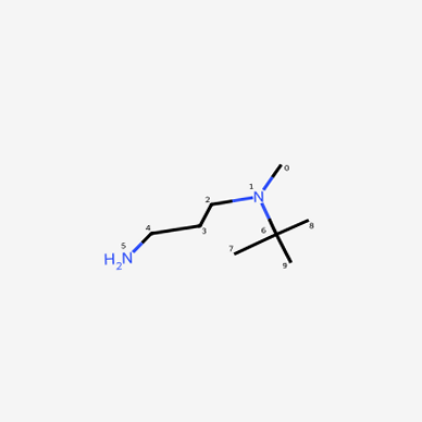 CN(CCCN)C(C)(C)C